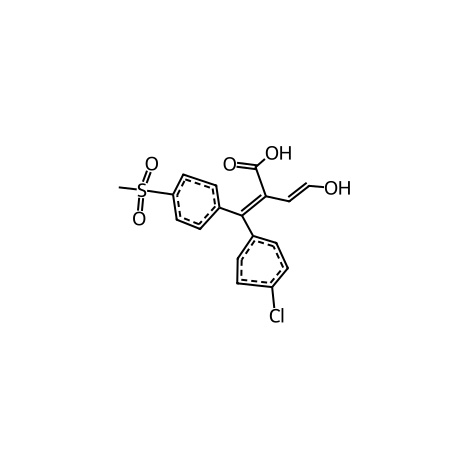 CS(=O)(=O)c1ccc(C(=C(C=CO)C(=O)O)c2ccc(Cl)cc2)cc1